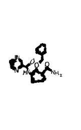 NC(=O)c1cccc(NC(=O)c2cnccn2)c1OCc1ccccc1